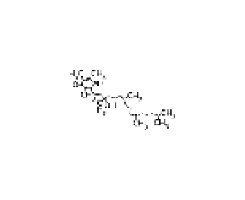 CC(=CCC[C@](C)(O)CCC1=C(C)C(=O)C(C)=C(C)C1=O)CCC=C(C)CCCC(C)C